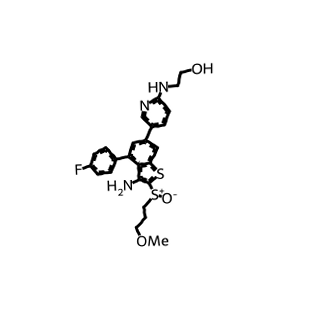 COCCC[S+]([O-])c1sc2cc(-c3ccc(NCCO)nc3)cc(-c3ccc(F)cc3)c2c1N